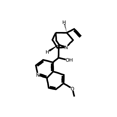 C=C[C@H]1CN2CCC1C[C@H]2C(O)c1ccnc2ccc(OC)cc12